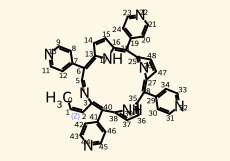 C/C=C\c1ncc(-c2ccncc2)c2ccc([nH]2)c(-c2ccncc2)c2nc(c(-c3ccncc3)c3ccc([nH]3)c1-c1ccncc1)C=C2